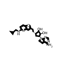 Nc1ncnc2c1ccn2[C@@H]1C[C@H](CCc2ccc3ccc(NCC4CC4)nc3c2)C(O)[C@H]1O